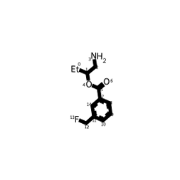 CCC(CN)OC(=O)c1cccc(CF)c1